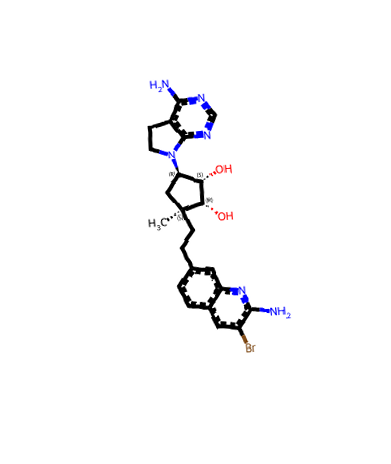 C[C@]1(CCc2ccc3cc(Br)c(N)nc3c2)C[C@@H](N2CCc3c(N)ncnc32)[C@H](O)[C@@H]1O